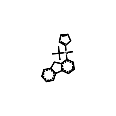 CC(C)(C)[Si](C)(C1=CC=CC1)c1cccc2c1Cc1ccccc1-2